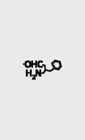 NCC(C[C]=O)Cc1ccccc1